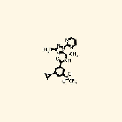 C[C@H](NC(=O)c1cc(C2CC2)cc(S(=O)(=O)C(F)(F)F)c1)c1nc(N)nn1-c1ncccn1